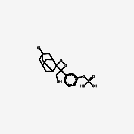 O=P(O)(O)Oc1cccc(C2(CO)OOC23C2CC4CC3CC(Cl)(C4)C2)c1